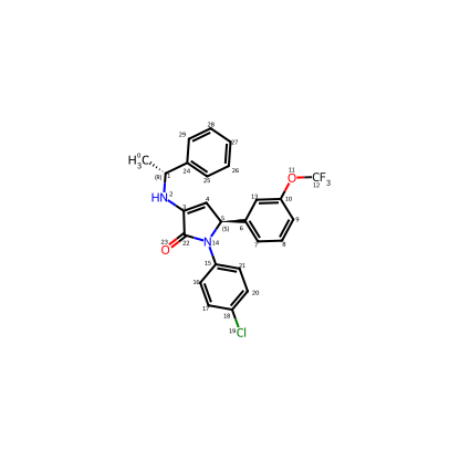 C[C@@H](NC1=C[C@@H](c2cccc(OC(F)(F)F)c2)N(c2ccc(Cl)cc2)C1=O)c1ccccc1